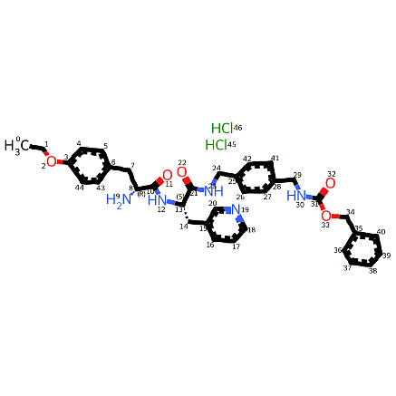 CCOc1ccc(C[C@@H](N)C(=O)N[C@@H](Cc2cccnc2)C(=O)NCc2ccc(CNC(=O)OCc3ccccc3)cc2)cc1.Cl.Cl